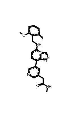 CNC(=O)Cc1cncc(-c2ccc(NCc3c(I)cccc3OC)n3cnnc23)c1